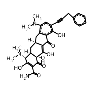 CN(C)c1cc(C#CCc2ccccc2)c(O)c2c1C[C@@H]1C[C@@H]3[C@@H](N(C)C)C(O)=C(C(N)=O)C(=O)[C@]3(O)C(O)=C1C2=O